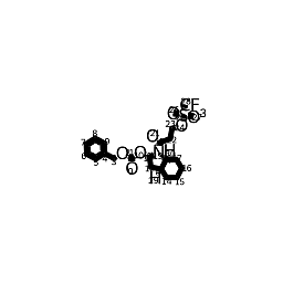 O=C(OCc1ccccc1)O[C@H]1C[C@@H]2CCCC[C@H]2N1C(=O)CCOS(=O)(=O)C(F)(F)F